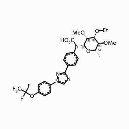 CCO[C@@H]1[C@@H](OC)[C@H](C)O[C@H](N(C(=O)O)c2ccc(-c3ncn(-c4ccc(OC(F)(F)C(F)(F)F)cc4)n3)cc2)[C@@H]1OC